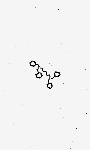 c1ccc(CP(CCCCCP(Cc2ccccc2)Cc2ccccc2)Cc2ccccc2)cc1